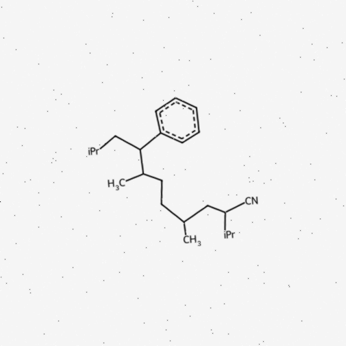 CC(C)CC(c1ccccc1)C(C)CCC(C)CC(C#N)C(C)C